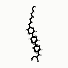 CCCCCCCCC1CCC(c2ccc(-c3ccc(CC(C)CC)cc3)cc2)CC1